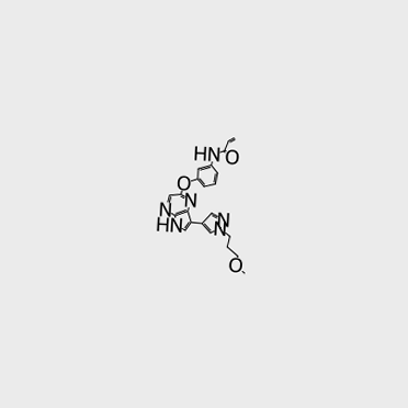 C=CC(=O)Nc1cccc(Oc2cnc3[nH]cc(-c4cnn(CCCOC)c4)c3n2)c1